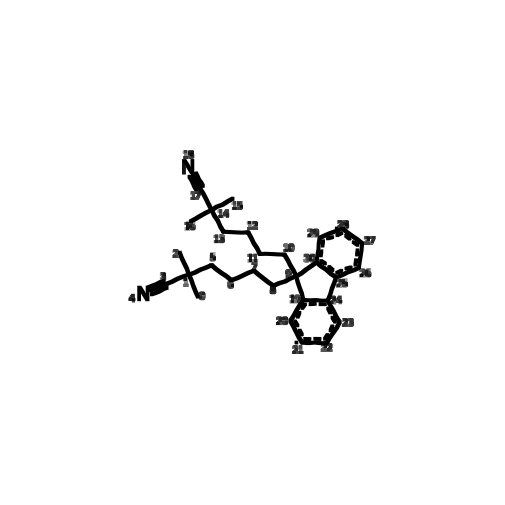 CC(C)(C#N)CCCCC1(CCCCC(C)(C)C#N)c2c[c]ccc2-c2cc[c]cc21